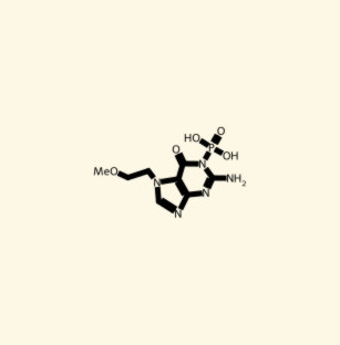 COCCn1cnc2nc(N)n(P(=O)(O)O)c(=O)c21